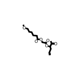 C=CCC(OC(=O)COC(=O)CCCCCOC)C(C)=O